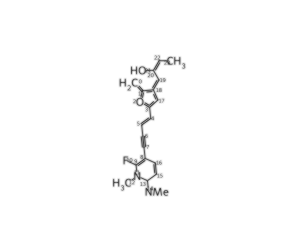 C=c1oc(/C=C/C#CC2=C(F)N(C)C(NC)C=C2)c/c1=C/C(O)=C\C